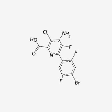 Nc1c(F)c(-c2cc(F)c(Br)cc2F)nc(C(=O)O)c1Cl